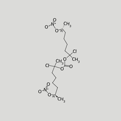 C[C@H](CCCCC(C)(Cl)OC(=O)OC(C)(Cl)CCCC[C@@H](C)O[N+](=O)[O-])O[N+](=O)[O-]